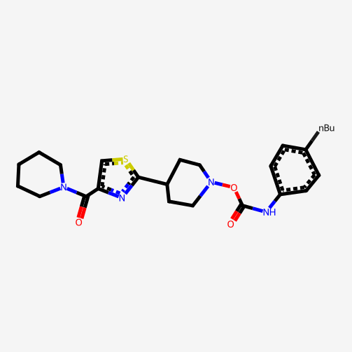 CCCCc1ccc(NC(=O)ON2CCC(c3nc(C(=O)N4CCCCC4)cs3)CC2)cc1